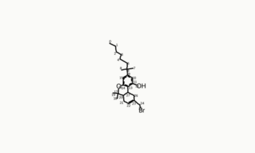 CCCCCCC(C)(C)c1cc(O)c2c(c1)OC(C)(C)C1CC=C(CBr)CC21